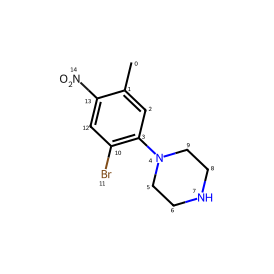 Cc1cc(N2CCNCC2)c(Br)cc1[N+](=O)[O-]